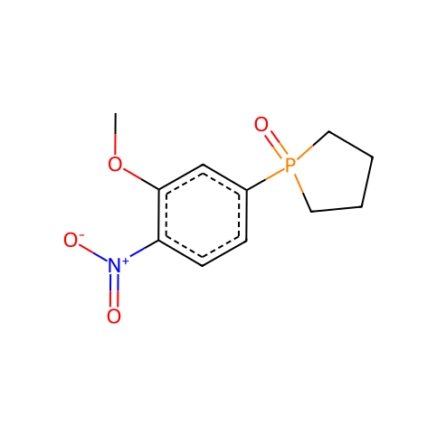 COc1cc(P2(=O)CCCC2)ccc1[N+](=O)[O-]